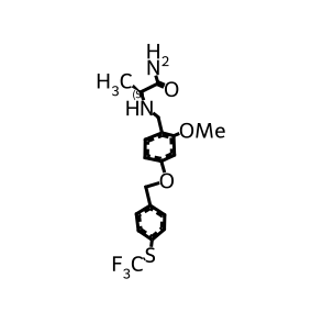 COc1cc(OCc2ccc(SC(F)(F)F)cc2)ccc1CN[C@@H](C)C(N)=O